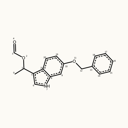 CC(OC=O)c1c[nH]c2cc(OCc3ccccc3)ccc12